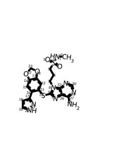 CNS(=O)(=O)CCCn1c(Sc2cc3c(cc2-c2cc[nH]n2)OCO3)nc2c(N)ncnc21